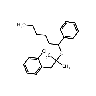 CCCCCC(OC(C)(C)Cc1ccccc1O)c1ccccc1